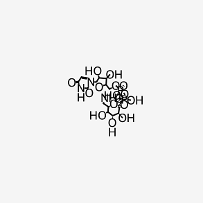 NCC1O[C@H](OP(=O)(O)OP(=O)(O)OCC2OC(n3ccc(=O)[nH]c3=O)C(O)C2O)[C@@H](O)[C@H](O)C1O